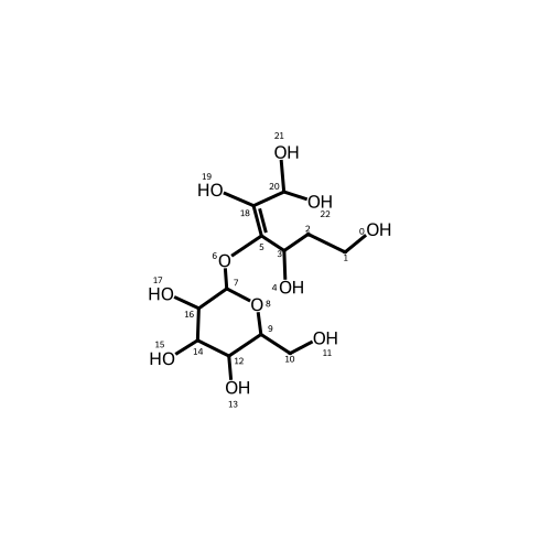 OCCC(O)/C(OC1OC(CO)C(O)C(O)C1O)=C(/O)C(O)O